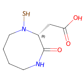 O=C(O)C[C@@H]1C(=O)NCCCCN1S